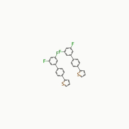 Fc1cc(F)cc(-c2ccc(-c3cccs3)cc2)c1.Fc1cc(F)cc(-c2ccc(-c3cccs3)cc2)c1